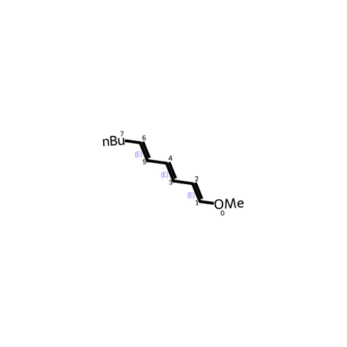 [CH2]O/C=C/C=C/C=C/CCCC